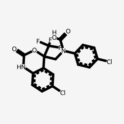 O=C1Nc2ccc(Cl)cc2C(CN(C(=O)O)c2ccc(Cl)cc2)(C(F)(F)F)O1